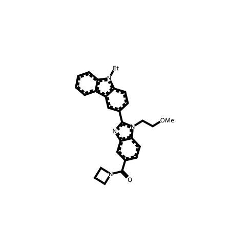 CCn1c2ccccc2c2cc(-c3nc4cc(C(=O)N5CCC5)ccc4n3CCOC)ccc21